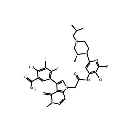 CC(C)CN1CCN(c2cc(NC(=O)Cn3cc(-c4cc(C(N)=O)c(O)c(F)c4F)c4c(=O)n(C)cnc43)c(Cl)c(F)n2)[C@@H](C)C1